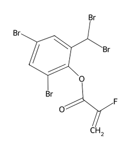 C=C(F)C(=O)Oc1c(Br)cc(Br)cc1C(Br)Br